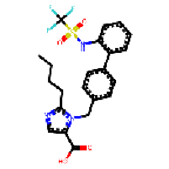 CCCCc1ncc(C(=O)O)n1Cc1ccc(-c2ccccc2NS(=O)(=O)C(F)(F)F)cc1